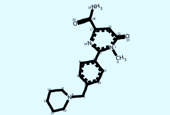 Cn1c(-c2ccc(CN3CCCCC3)cc2)nc(C(N)=O)cc1=O